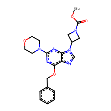 CC(C)(C)OC(=O)N1CC(n2cnc3c(OCc4ccccc4)nc(N4CCOCC4)nc32)C1